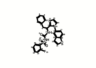 O=C(NC(Cc1ccccc1)c1nccn1-c1ccc2occc2c1)NS(=O)(=O)c1ccccc1F